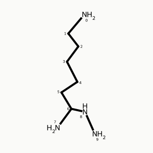 NCCCCCC(N)NN